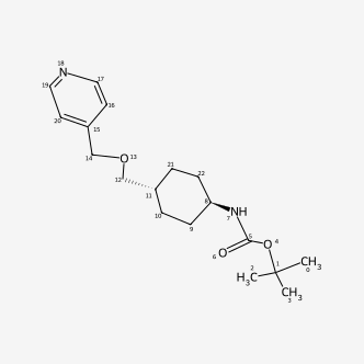 CC(C)(C)OC(=O)N[C@H]1CC[C@H](COCc2ccncc2)CC1